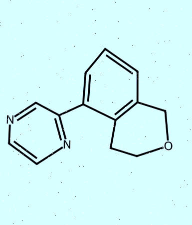 c1cc2c(c(-c3cnccn3)c1)CCOC2